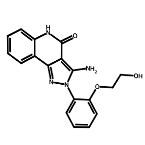 Nc1c2c(=O)[nH]c3ccccc3c2nn1-c1ccccc1OCCO